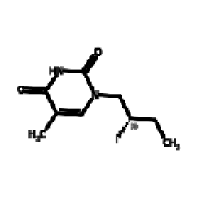 CC[C@H](I)Cn1cc(C)c(=O)[nH]c1=O